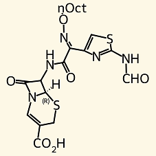 CCCCCCCCON=C(C(=O)NC1C(=O)N2C=C(C(=O)O)CS[C@H]12)c1csc(NC=O)n1